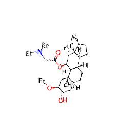 CCO[C@H]1C[C@@]2(C)[C@@H](CC[C@@H]3[C@@H]2[C@@H](OC(=O)CN(CC)CC)C[C@]2(C)[C@@H](C(C)=O)CC[C@@H]32)C[C@@H]1O